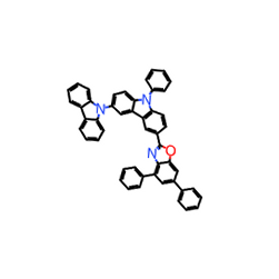 c1ccc(-c2cc(-c3ccccc3)c3nc(-c4ccc5c(c4)c4cc(-n6c7ccccc7c7ccccc76)ccc4n5-c4ccccc4)oc3c2)cc1